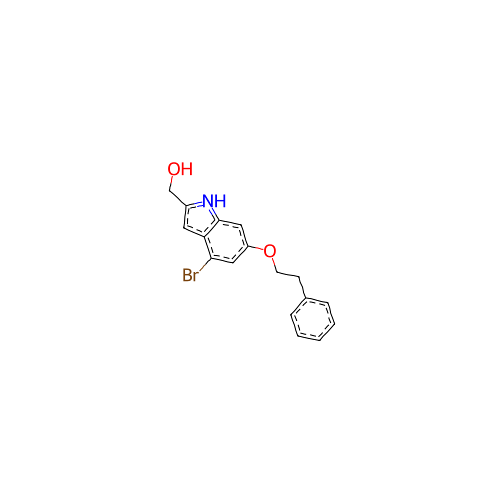 OCc1cc2c(Br)cc(OCCc3ccccc3)cc2[nH]1